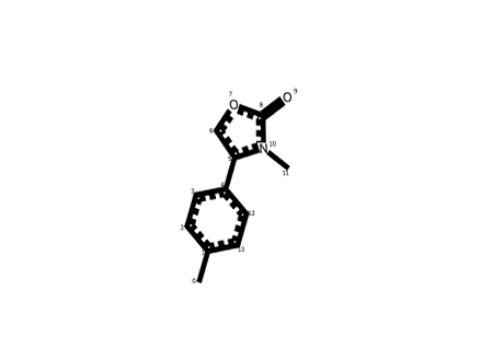 Cc1ccc(-c2coc(=O)n2C)cc1